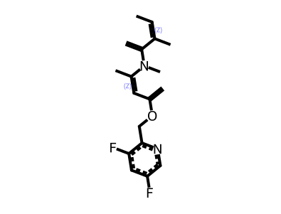 C=C(/C=C(/C)N(C)C(=C)/C(C)=C\C)OCc1ncc(F)cc1F